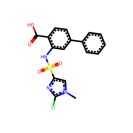 Cn1cc(S(=O)(=O)Nc2cc(-c3ccccc3)ccc2C(=O)O)nc1Cl